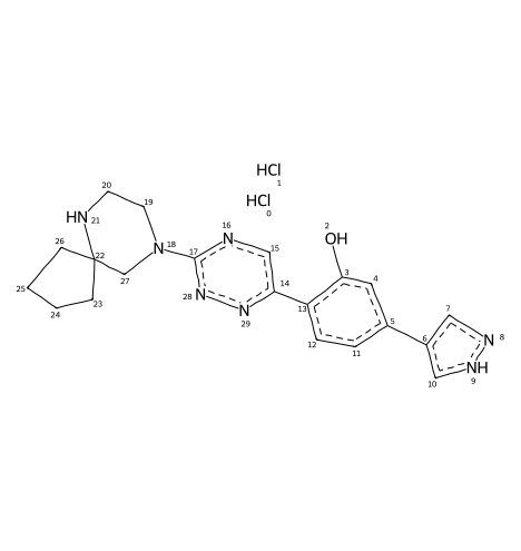 Cl.Cl.Oc1cc(-c2cn[nH]c2)ccc1-c1cnc(N2CCNC3(CCCC3)C2)nn1